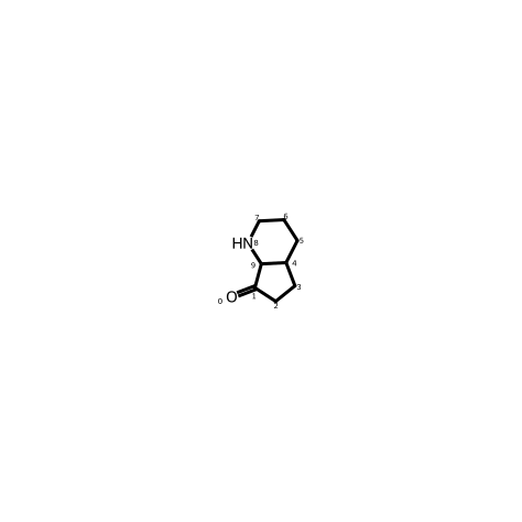 O=C1CCC2CCCNC12